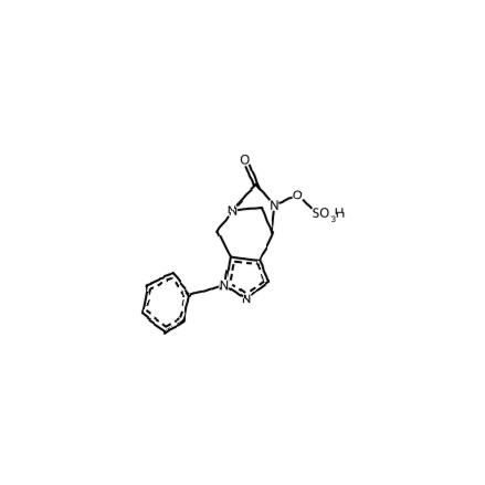 O=C1N2Cc3c(cnn3-c3ccccc3)C(C2)N1OS(=O)(=O)O